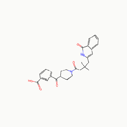 CC(C)(CC(=O)N1CCC(C(=O)c2cccc(C(=O)O)c2)CC1)Cc1cc2ccccc2c(=O)[nH]1